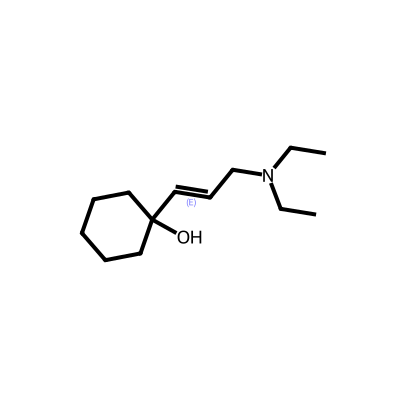 CCN(CC)C/C=C/C1(O)CCCCC1